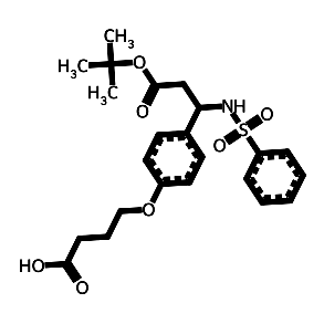 CC(C)(C)OC(=O)CC(NS(=O)(=O)c1ccccc1)c1ccc(OCCCC(=O)O)cc1